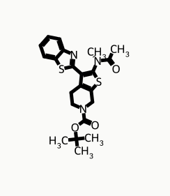 CC(=O)N(C)c1sc2c(c1-c1nc3ccccc3s1)CCN(C(=O)OC(C)(C)C)C2